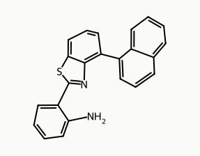 Nc1ccccc1-c1nc2c(-c3cccc4ccccc34)cccc2s1